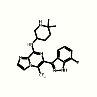 CC1(C)CCC(Nc2nc(-c3n[nH]c4c(F)cccc34)c(C(F)(F)F)n3ccnc23)CN1